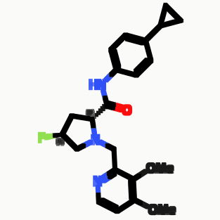 COc1ccnc(CN2C[C@@H](F)C[C@@H]2C(=O)Nc2ccc(C3CC3)cc2)c1OC